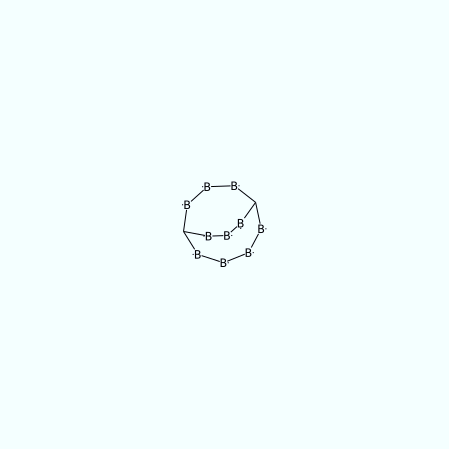 [B]1[B][B]C2[B][B][B]C([B]1)[B][B][B]2